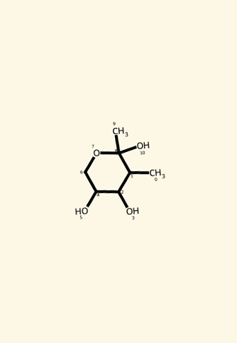 CC1C(O)C(O)COC1(C)O